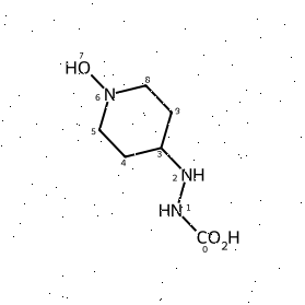 O=C(O)NNC1CCN(O)CC1